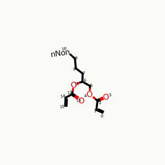 C=CC(=O)OCC(CCCCCCCCCCCC)OC(=O)C=C